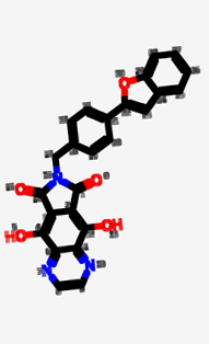 O=C1c2c(c(O)c3nccnc3c2O)C(=O)N1Cc1ccc(-c2cc3ccccc3o2)cc1